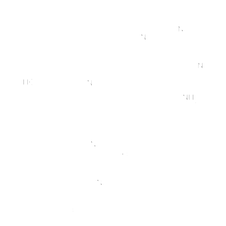 C#Cc1cc2c(cn1)-c1c(-c3ccc(Oc4nccc(C)n4)cc3)c3c(N)ncnc3n1CCC2